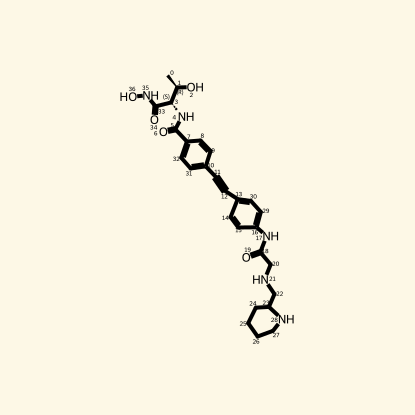 C[C@@H](O)[C@H](NC(=O)c1ccc(C#Cc2ccc(NC(=O)CNCC3CCCCN3)cc2)cc1)C(=O)NO